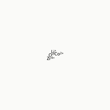 [Co+2].[Li+].[O-2].[Zr+4]